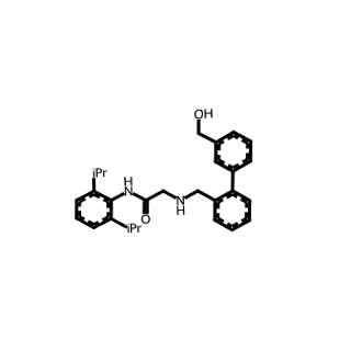 CC(C)c1cccc(C(C)C)c1NC(=O)CNCc1ccccc1-c1cccc(CO)c1